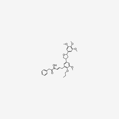 CCCOc1c(C/C=C/N(O)C(=O)Cc2ccccc2)cc(C2COC(c3cc(OC)c(OC)c(OC)c3)C2)cc1OC